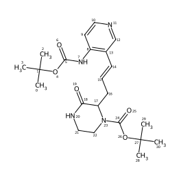 CC(C)(C)OC(=O)Nc1ccncc1C=CCC1C(=O)NCCN1C(=O)OC(C)(C)C